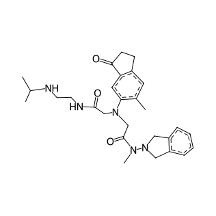 Cc1cc2c(cc1N(CC(=O)NCCNC(C)C)CC(=O)N(C)N1Cc3ccccc3C1)C(=O)CC2